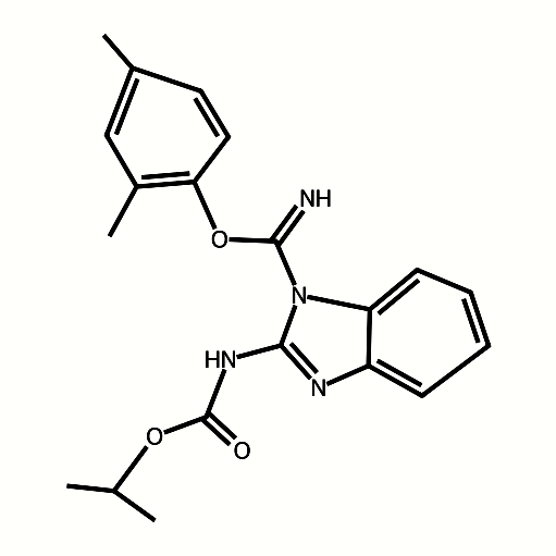 Cc1ccc(OC(=N)n2c(NC(=O)OC(C)C)nc3ccccc32)c(C)c1